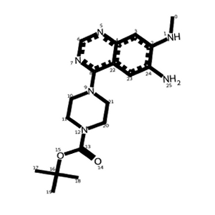 CNc1cc2ncnc(N3CCN(C(=O)OC(C)(C)C)CC3)c2cc1N